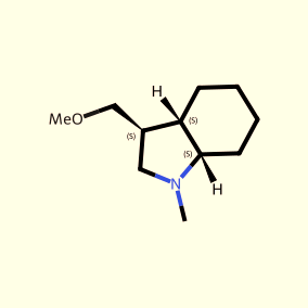 COC[C@@H]1CN(C)[C@H]2CCCC[C@@H]12